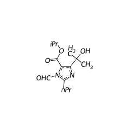 CCCc1nc(C(C)(C)O)c(C(=O)OC(C)C)n1C=O